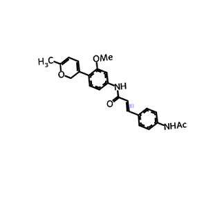 COc1cc(NC(=O)/C=C/c2ccc(NC(C)=O)cc2)ccc1C1=CC=C(C)OC1